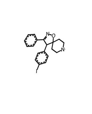 Ic1ccc(C2C(c3ccccc3)=NOC23CC[N]CC3)cc1